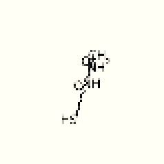 C=CC(=O)NCCCNC(=O)CCCCCCCS